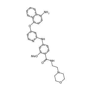 COc1cc(Nc2cc(Oc3ccc(N)c4ccccc34)ccn2)ccc1C(=O)NCCN1CCOCC1